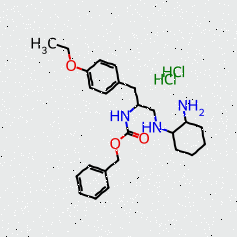 CCOc1ccc(CC(CNC2CCCCC2N)NC(=O)OCc2ccccc2)cc1.Cl.Cl